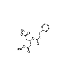 CCC(C)OC(=O)CC(CC(=O)OC(C)CC)OC(=O)OCc1ccccc1